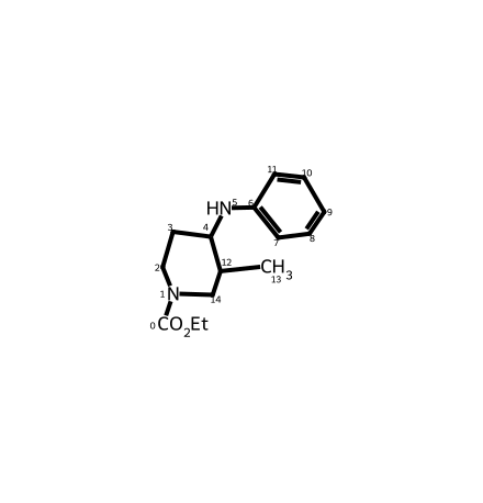 CCOC(=O)N1CCC(Nc2ccccc2)C(C)C1